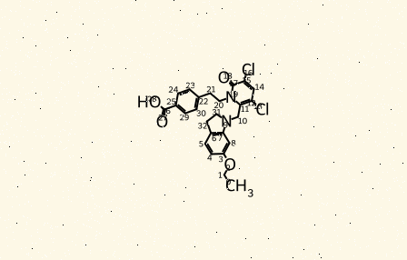 CCOc1ccc2c(c1)N(Cc1c(Cl)cc(Cl)c(=O)n1CCc1ccc(C(=O)O)cc1)CC2